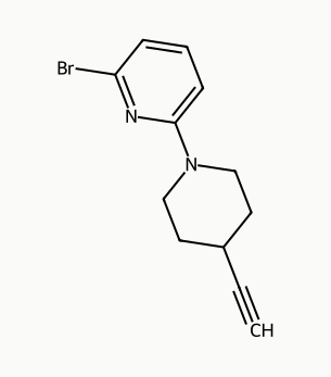 C#CC1CCN(c2cccc(Br)n2)CC1